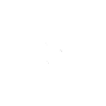 C1[N]C[N]C[N]1